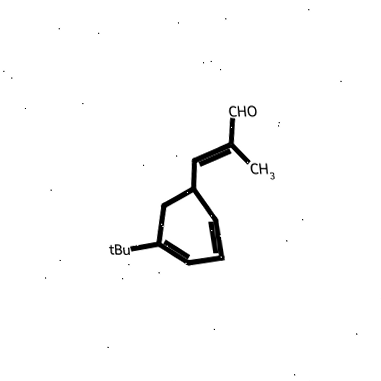 CC(C=O)=CC1C=CC=C(C(C)(C)C)C1